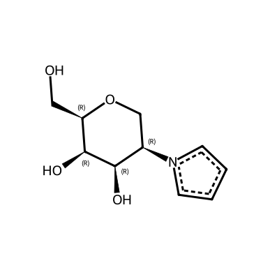 OC[C@H]1OC[C@@H](n2cccc2)[C@@H](O)[C@H]1O